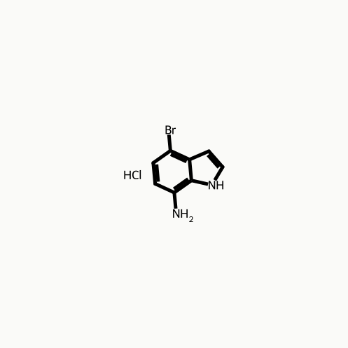 Cl.Nc1ccc(Br)c2cc[nH]c12